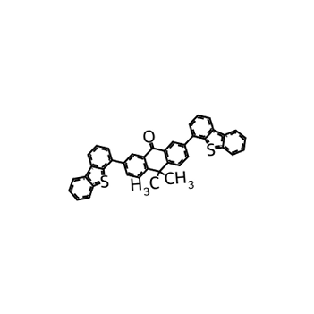 CC1(C)c2ccc(-c3cccc4c3sc3ccccc34)cc2C(=O)c2cc(-c3cccc4c3sc3ccccc34)ccc21